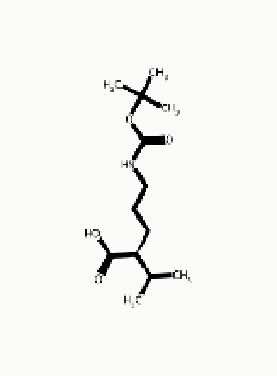 CC(C)[C@H](CCCNC(=O)OC(C)(C)C)C(=O)O